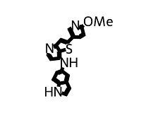 COc1ccc(-c2cc3nccc(Nc4ccc5[nH]ccc5c4)c3s2)cn1